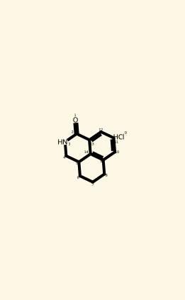 Cl.O=C1NCC2CCCc3cccc1c32